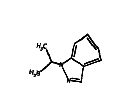 BC(C)n1ncc2ccccc21